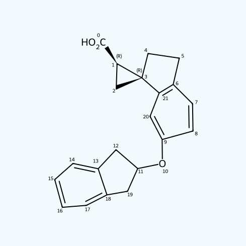 O=C(O)[C@@H]1C[C@]12CCc1ccc(OC3Cc4ccccc4C3)cc12